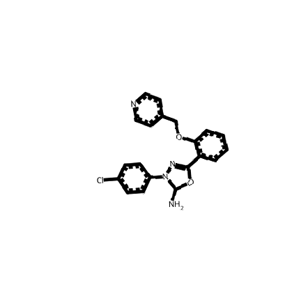 NC1OC(c2ccccc2OCc2ccncc2)=NN1c1ccc(Cl)cc1